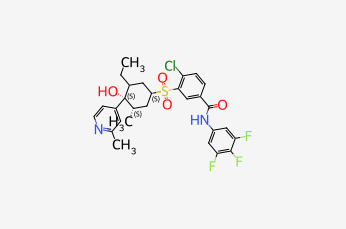 CCC1C[C@@H](S(=O)(=O)c2cc(C(=O)Nc3cc(F)c(F)c(F)c3)ccc2Cl)C[C@H](C)[C@@]1(O)c1ccnc(C)c1